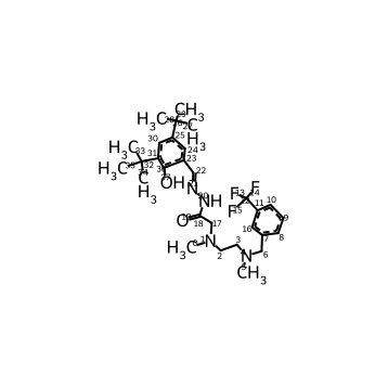 CN(CCN(C)Cc1cccc(C(F)(F)F)c1)CC(=O)N/N=C/c1cc(C(C)(C)C)cc(C(C)(C)C)c1O